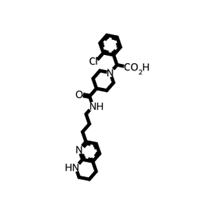 O=C(NCCCc1ccc2c(n1)NCCC2)C1CCN(C(C(=O)O)c2ccccc2Cl)CC1